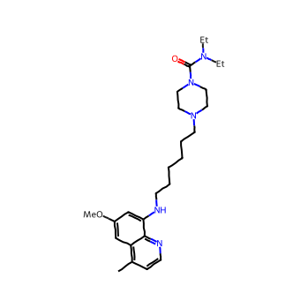 CCN(CC)C(=O)N1CCN(CCCCCCNc2cc(OC)cc3c(C)ccnc23)CC1